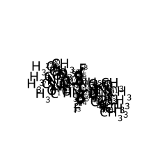 CC[C@H](NC(=O)[C@H](C)NC)C(=O)N1C[C@@H](OC(=O)CC(C)(C)C)C[C@H]1Cc1c(-c2[nH]c3cc(F)ccc3c2C[C@@H]2C[C@H](OC(=O)CC(C)(C)C)CN2C(=O)[C@H](CC)NC(=O)[C@H](C)NC)[nH]c2cc(F)ccc12